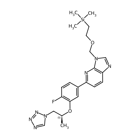 C[C@@H](Cn1cnnn1)Oc1cc(-c2ccc3ncn(COCC[Si](C)(C)C)c3n2)ccc1F